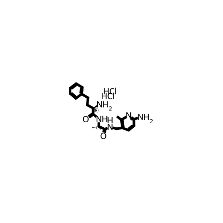 Cc1nc(N)ccc1CNC(=O)[C@H](C)NC(=O)[C@H](N)CCc1ccccc1.Cl.Cl